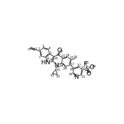 C#Cc1ccc2c(c1)[nH]c1c2c(=O)c2cc(C)c(-c3cncc(S(=O)(=O)F)c3)cc2n1C1CC1